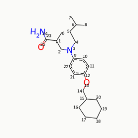 C[C](CN(CCC(C)C)c1ccc(OCC2CCCCC2)cc1)C(N)=O